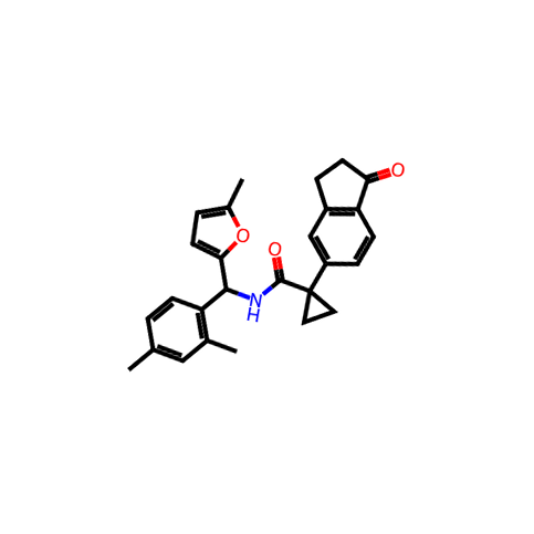 Cc1ccc(C(NC(=O)C2(c3ccc4c(c3)CCC4=O)CC2)c2ccc(C)o2)c(C)c1